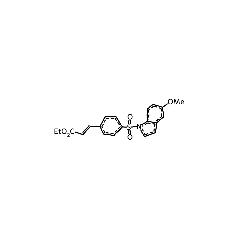 CCOC(=O)/C=C/c1ccc(S(=O)(=O)n2ccc3cc(OC)ccc32)cc1